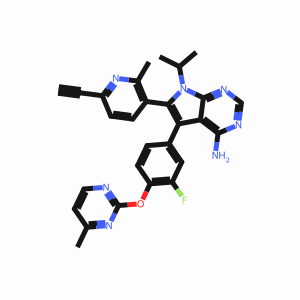 C#Cc1ccc(-c2c(-c3ccc(Oc4nccc(C)n4)c(F)c3)c3c(N)ncnc3n2C(C)C)c(C)n1